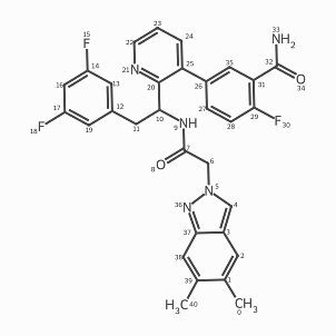 Cc1cc2cn(CC(=O)NC(Cc3cc(F)cc(F)c3)c3ncccc3-c3ccc(F)c(C(N)=O)c3)nc2cc1C